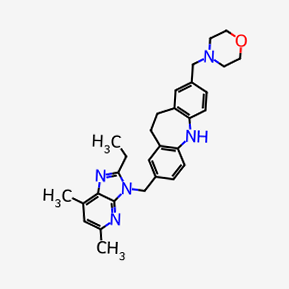 CCc1nc2c(C)cc(C)nc2n1Cc1ccc2c(c1)CCc1cc(CN3CCOCC3)ccc1N2